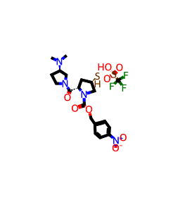 CN(C)[C@@H]1CCN(C(=O)[C@@H]2C[C@H](S)CN2C(=O)OCc2ccc([N+](=O)[O-])cc2)C1.O=S(=O)(O)C(F)(F)F